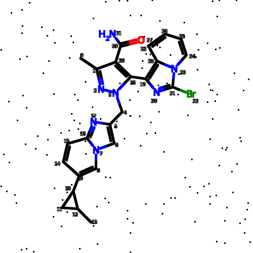 Cc1nn(Cc2cn3cc(C4CC4C)ccc3n2)c(-c2nc(Br)n3ccccc23)c1C(N)=O